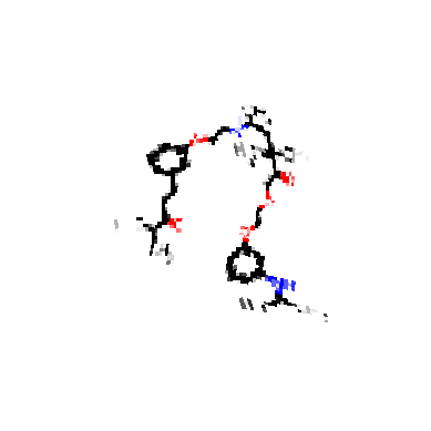 CC(C)Nc1cccc(OCCOCC(=O)C(C)(C)CC(C)NCCOc2cccc(CCC(=O)C(C)C)c2)c1